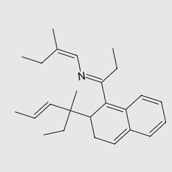 CC=CC(C)(CC)C1CC=c2ccccc2=C1/C(CC)=N/C=C(/C)CC